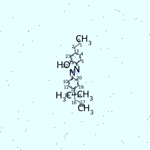 CCCc1ccc(/N=N/c2ccc(C(C)(C)CCC)cc2)c(O)c1